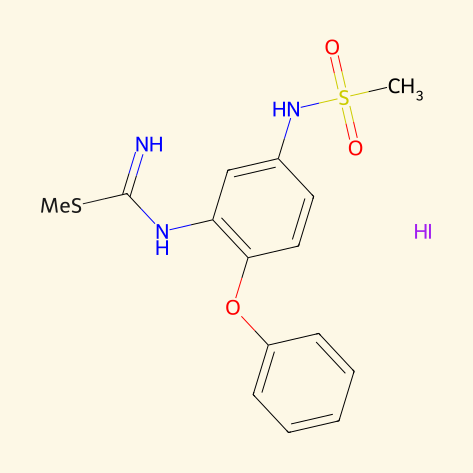 CSC(=N)Nc1cc(NS(C)(=O)=O)ccc1Oc1ccccc1.I